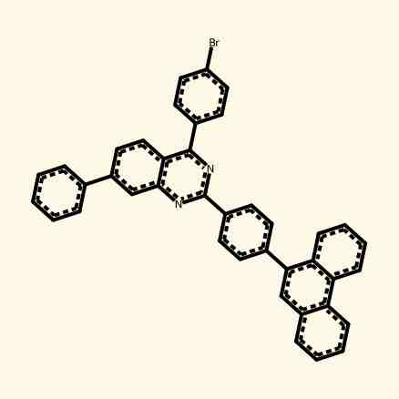 Brc1ccc(-c2nc(-c3ccc(-c4cc5ccccc5c5ccccc45)cc3)nc3cc(-c4ccccc4)ccc23)cc1